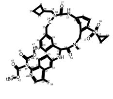 CN1Cc2cc(ccc2S(=O)(=O)C2CC2)NC(=O)N(CC2CCC2)CCc2cccc(c2)C(Nc2ccc3c(N(C(=O)OC(C)(C)C)C(=O)OC(C)(C)C)ncc(F)c3c2)C1=O